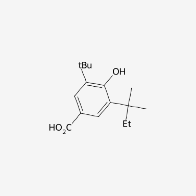 CCC(C)(C)c1cc(C(=O)O)cc(C(C)(C)C)c1O